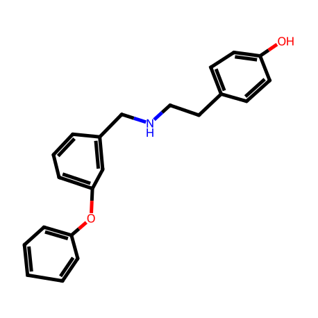 Oc1ccc(CCNCc2cccc(Oc3ccccc3)c2)cc1